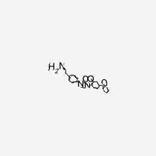 COC(=O)c1ccc(N2CCN(c3ccc(CCN)cc3)C2=O)c(OC)c1